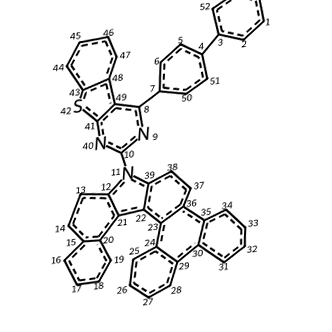 c1ccc(-c2ccc(-c3nc(-n4c5ccc6ccccc6c5c5c6c7ccccc7c7ccccc7c6ccc54)nc4sc5ccccc5c34)cc2)cc1